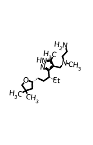 CC[C@H](CC[C@@H]1CC(C)(C)CO1)c1n[nH]c(C)c1CN(C)CCN